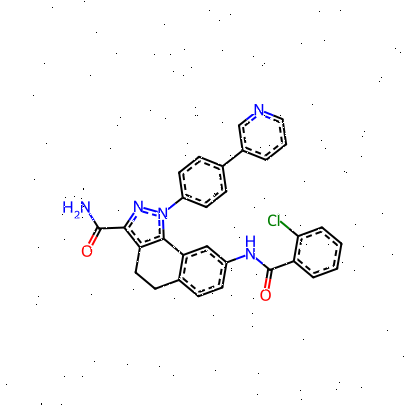 NC(=O)c1nn(-c2ccc(-c3cccnc3)cc2)c2c1CCc1ccc(NC(=O)c3ccccc3Cl)cc1-2